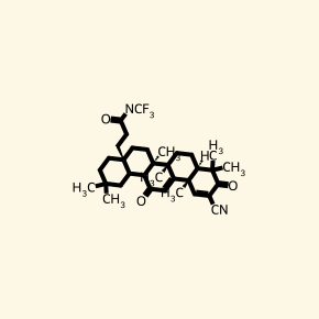 CC1(C)CC[C@]2(CCC(=O)NC(F)(F)F)CC[C@]3(C)C(C(=O)C=C4[C@@]5(C)C=C(C#N)C(=O)C(C)(C)[C@@H]5CC[C@]43C)C2C1